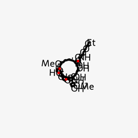 CCOCCOCCOCCNC(=O)CO/N=C1\[C@H](C)C[C@H](C)/C=C/C=C/C=C(\C)[C@@H](OC)C[C@@H]2CC[C@@H](C)[C@](O)(CC(=O)N3CCCC[C@H]3C(=O)O[C@H]([C@H](N)C[C@@H]3CC[C@@H](O)[C@H](OC)C3)C[C@@H](O)[C@H](C)/C=C(\C)[C@@H](O)[C@H]1O)O2